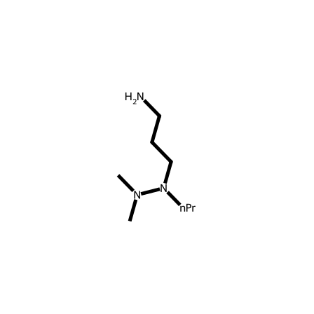 CCCN(CCCN)N(C)C